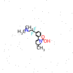 C[C@H]1CC=C(c2cccc(C(F)(F)CCN(C)C)c2)N(C(=O)O)C1